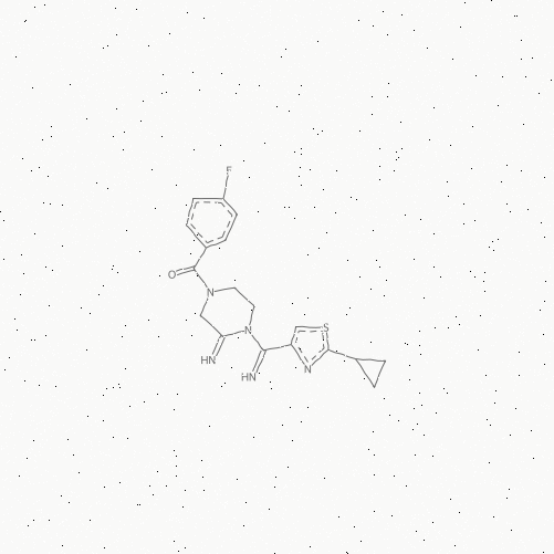 N=C1CN(C(=O)c2ccc(F)cc2)CCN1C(=N)c1csc(C2CC2)n1